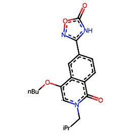 CCCCOc1[c]n(CC(C)C)c(=O)c2ccc(-c3noc(=O)[nH]3)cc12